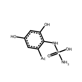 CC(=O)c1cc(O)cc(O)c1NP(N)(=O)O